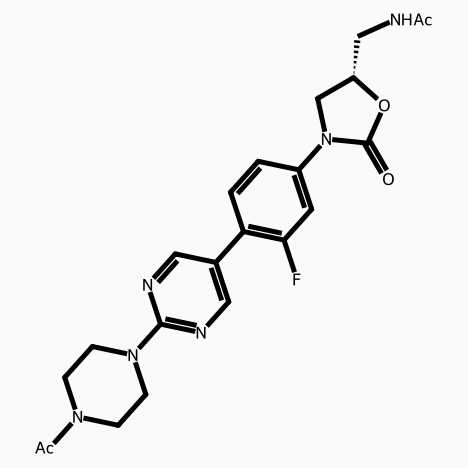 CC(=O)NC[C@H]1CN(c2ccc(-c3cnc(N4CCN(C(C)=O)CC4)nc3)c(F)c2)C(=O)O1